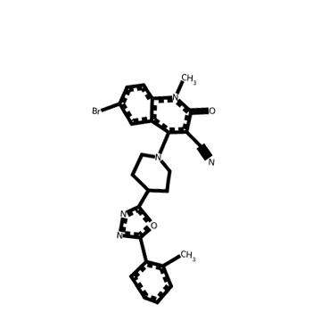 Cc1ccccc1-c1nnc(C2CCN(c3c(C#N)c(=O)n(C)c4ccc(Br)cc34)CC2)o1